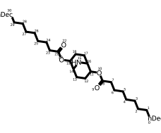 CCCCCCCCCCCCCCCCCC(=O)OC1CCC2NC1CCC2OC(=O)CCCCCCCCCCCCCCCCC